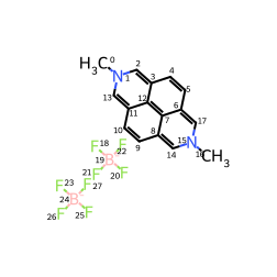 CN1C=c2ccc3c4c(ccc(c24)=C1)=CN(C)C=3.F[B-](F)(F)F.F[B-](F)(F)F